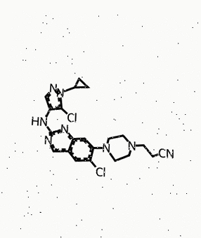 N#CCCN1CCN(c2cc3nc(Nc4cnn(C5CC5)c4Cl)ncc3cc2Cl)CC1